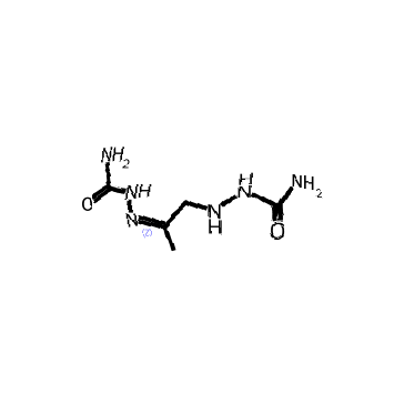 C/C(CNNC(N)=O)=N/NC(N)=O